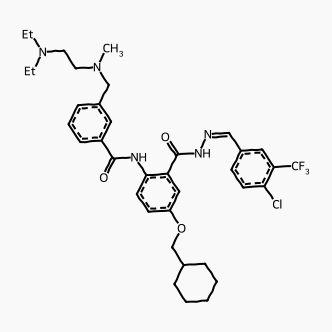 CCN(CC)CCN(C)Cc1cccc(C(=O)Nc2ccc(OCC3CCCCC3)cc2C(=O)N/N=C\c2ccc(Cl)c(C(F)(F)F)c2)c1